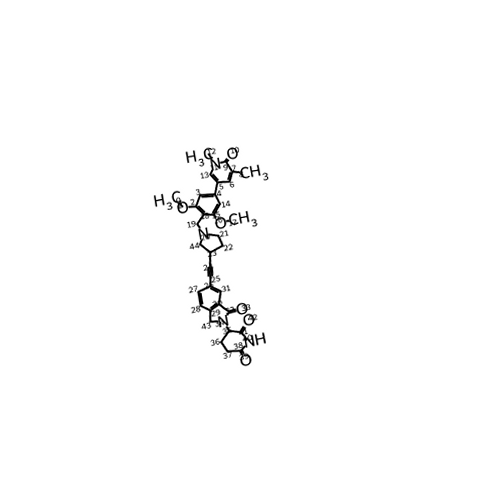 COc1cc(-c2cc(C)c(=O)n(C)c2)cc(OC)c1CN1CCC(C#Cc2ccc3c(c2)C(=O)N(C2CCC(=O)NC2=O)C3)C1